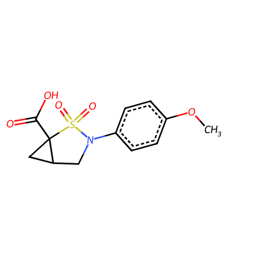 COc1ccc(N2CC3CC3(C(=O)O)S2(=O)=O)cc1